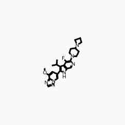 COc1cc(-c2[nH]c3cnc(N4CCC(N5CCC5)CC4)c(F)c3c2C(C)C)cn2ncnc12